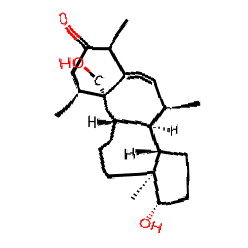 CC1C(=O)C[C@H](C)[C@@]2(CO)C1=C[C@@H](C)[C@H]1[C@@H]3CC[C@H](O)[C@@]3(C)CC[C@@H]12